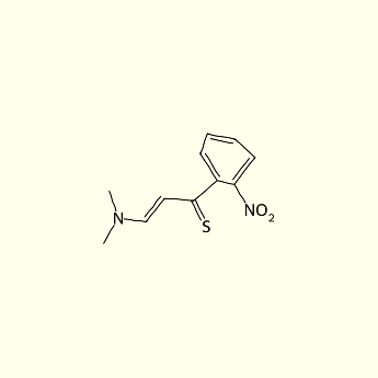 CN(C)/C=C/C(=S)c1ccccc1[N+](=O)[O-]